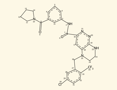 O=C(Nc1cccc(C(=O)N2CCCC2)c1)c1cc2c(nn1)NCCN2Cc1cc(Cl)ccc1C(F)(F)F